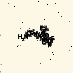 CN1CC(N2CCN(C3Cc4ccc(N)cc43)CC2)=C(OCC2(CF)CC2)C(=O)N1c1cc(F)cc(F)c1